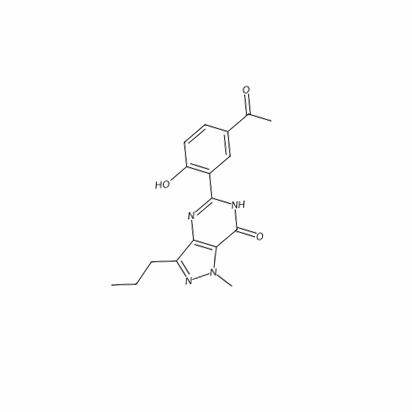 CCCc1nn(C)c2c(=O)[nH]c(-c3cc(C(C)=O)ccc3O)nc12